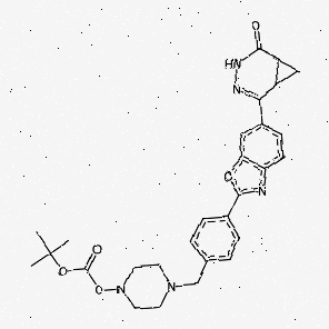 CC(C)(C)OC(=O)ON1CCN(Cc2ccc(-c3nc4ccc(C5=NNC(=O)C6CC56)cc4o3)cc2)CC1